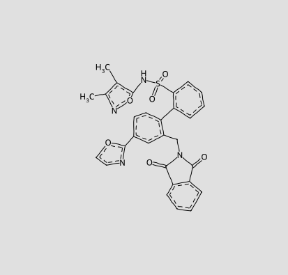 Cc1noc(NS(=O)(=O)c2ccccc2-c2ccc(-c3ncco3)cc2CN2C(=O)c3ccccc3C2=O)c1C